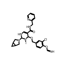 N=COc1ccc(COC2C(C(=O)NCc3ccccn3)=CNC(N3CC4CC4C3)N2I)cc1Cl